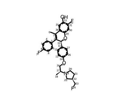 CC1=C(c2ccc(F)cc2)[C@H](c2ccc(OC[C@H](C)N3CC[C@@H](CF)C3)cc2)Oc2cc(F)c(O)cc21